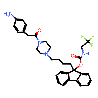 Nc1ccc(CC(=O)N2CCN(CCCCC3(OC(=O)NCC(F)(F)F)c4ccccc4-c4ccccc43)CC2)cc1